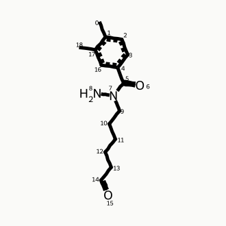 Cc1ccc(C(=O)N(N)CCCCCC=O)cc1C